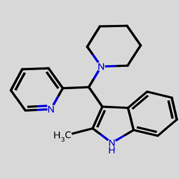 Cc1[nH]c2ccccc2c1C(c1ccccn1)N1CCCCC1